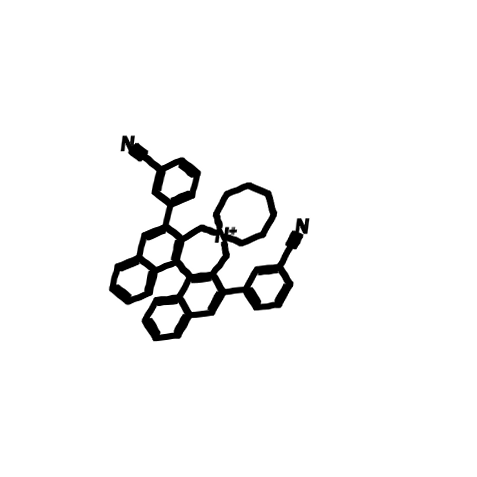 N#Cc1cccc(-c2cc3ccccc3c3c2C[N+]2(CCCCCCC2)Cc2c(-c4cccc(C#N)c4)cc4ccccc4c2-3)c1